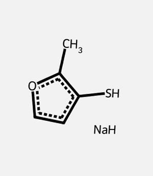 Cc1occc1S.[NaH]